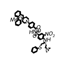 COC1(Cc2ccccc2-c2ccccc2)CCN(c2ccc(C(=O)NS(=O)(=O)c3ccc(N[C@H](CCN(C)C)CSc4ccccc4)c([N+](=O)[O-])c3)cc2)CC1